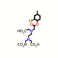 Cc1ccc(OC(=O)CN(CCN(CC(=O)O)CC(=O)O)CC(=O)O)c(Cl)c1